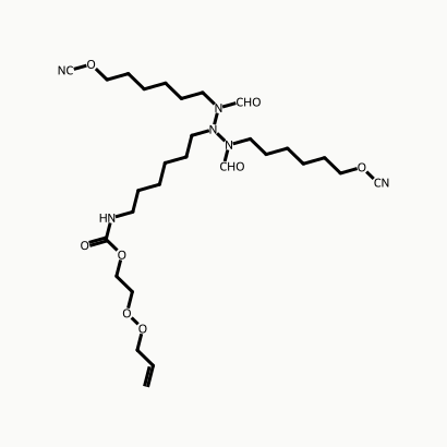 C=CCOOCCOC(=O)NCCCCCCN(N(C=O)CCCCCCOC#N)N(C=O)CCCCCCOC#N